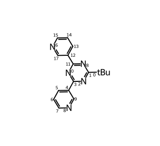 CC(C)(C)c1nc(-c2cccnc2)nc(-c2cccnc2)n1